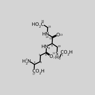 CC(=O)O.NC(CCC(=O)NC(CS)C(=O)NCC(=O)O)C(=O)O